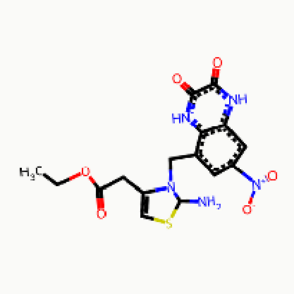 CCOC(=O)CC1=CSC(N)N1Cc1cc([N+](=O)[O-])cc2[nH]c(=O)c(=O)[nH]c12